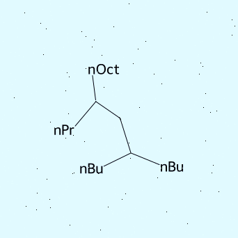 CCCCCCCCC(CCC)CC(CCCC)CCCC